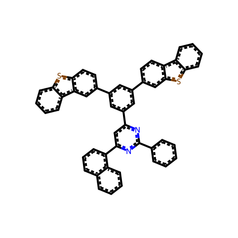 c1ccc(-c2nc(-c3cc(-c4ccc5c(c4)sc4ccccc45)cc(-c4ccc5sc6ccccc6c5c4)c3)cc(-c3cccc4ccccc34)n2)cc1